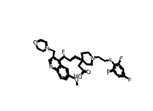 COc1ccc2ncc(CN3CCOCC3)c([C@H](F)CCC3(CC(=O)O)CCN(CCSc4c(F)cc(F)cc4F)CC3)c2c1